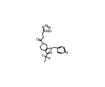 O=C(CCc1nnn[nH]1)N1CCc2c(C(F)(F)F)nn(Cc3ccc(F)cc3)c2C1